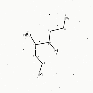 CCCCC(CCC(C)C)[C](CC)CCC(C)C